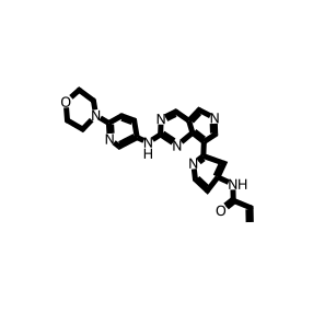 C=CC(=O)Nc1ccnc(-c2cncc3cnc(Nc4ccc(N5CCOCC5)nc4)nc23)c1